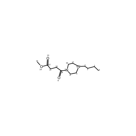 CCCCN1CCN(C(=O)CCC(=O)OC)CC1